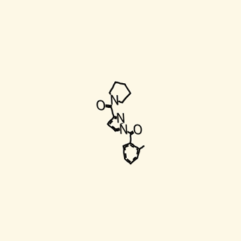 Cc1ccccc1C(=O)n1ccc(C(=O)N2CCCCC2)n1